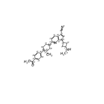 CNC1CC(n2cc(C#N)c3ccc(N4CCN(c5ccc(C(C)=O)cc5)[C@@H](C)C4)nc32)C1